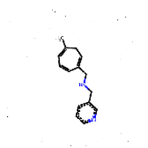 CC1=CC=CC(CNCc2cccnc2)=CC1